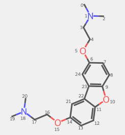 CN(C)CCOc1ccc2oc3ccc(OCCN(C)C)cc3c2c1